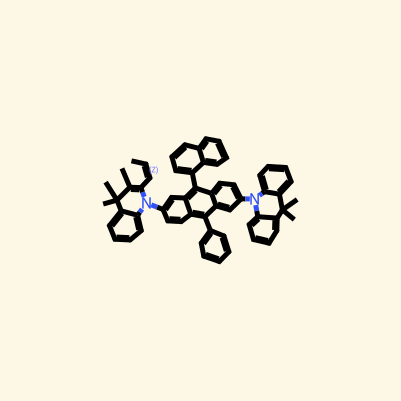 C/C=C\C1=C(C)C(C)(C)c2ccccc2N1c1ccc2c(-c3ccccc3)c3cc(N4c5ccccc5C(C)(C)c5ccccc54)ccc3c(-c3cccc4ccccc34)c2c1